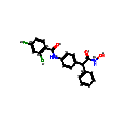 O=C(Nc1ccc(C(C(=O)NO)c2ccccc2)cc1)c1ccc(F)cc1Cl